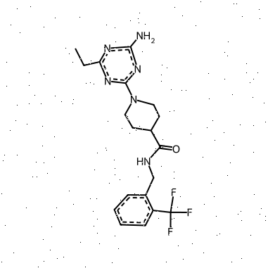 CCc1nc(N)nc(N2CCC(C(=O)NCc3ccccc3C(F)(F)F)CC2)n1